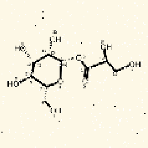 O=C(O[C@@H]1O[C@H](CO)[C@@H](O)[C@H](O)[C@@H]1O)C(O)CO